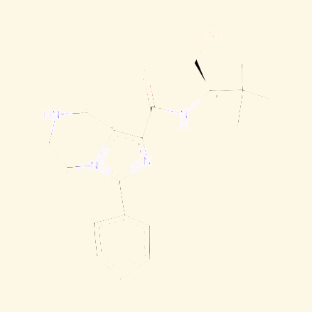 CC(C)(C)[C@H](CO)NC(=O)c1nc(-c2ccccc2)n2c1CNCC2